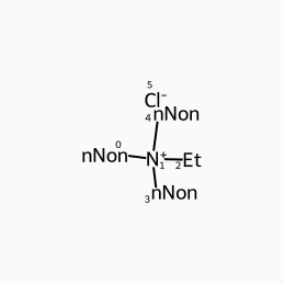 CCCCCCCCC[N+](CC)(CCCCCCCCC)CCCCCCCCC.[Cl-]